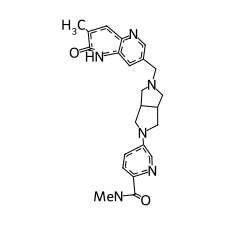 CNC(=O)c1ccc(N2CC3CN(Cc4cnc5cc(C)c(=O)[nH]c5c4)CC3C2)cn1